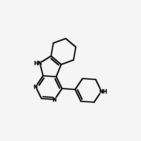 C1=C(c2ncnc3[nH]c4c(c23)CCCC4)CCNC1